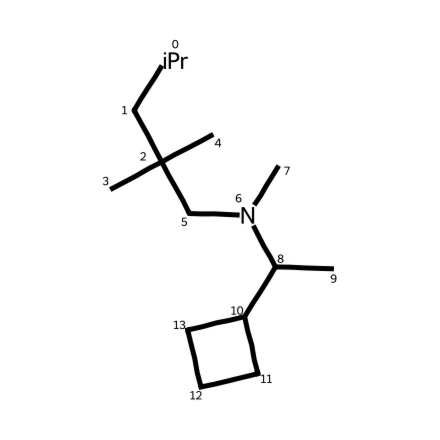 CC(C)CC(C)(C)CN(C)C(C)C1CCC1